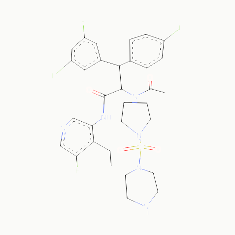 CC(=O)NC(C(=O)Nc1cncc(F)c1CC[C@H]1CNCCN1S(=O)(=O)N1CCCC1)C(c1ccc(F)cc1)c1cc(F)cc(F)c1